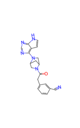 N#Cc1cccc(CC(=O)N2CC3CC2CN3c2ncnc3[nH]ccc23)c1